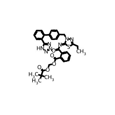 CCc1nn(Cc2ccc(-c3ccccc3-c3nnn[nH]3)cc2)c(=NC(=O)c2ccccc2C(=O)OCOC(=O)C(C)(C)C)s1